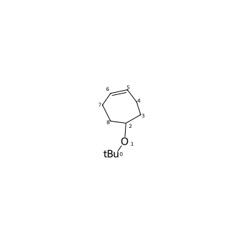 CC(C)(C)OC1CCC=CCC1